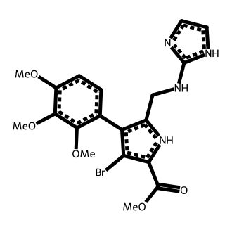 COC(=O)c1[nH]c(CNc2ncc[nH]2)c(-c2ccc(OC)c(OC)c2OC)c1Br